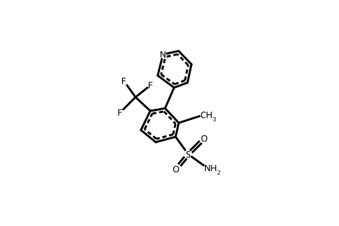 Cc1c(S(N)(=O)=O)ccc(C(F)(F)F)c1-c1cccnc1